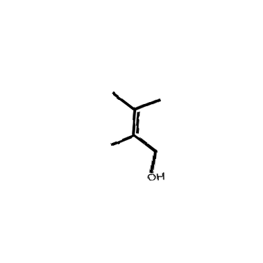 CC(C)=C(C)CO